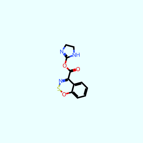 O=C(OC1=NCCN1)C1=NSOc2ccccc21